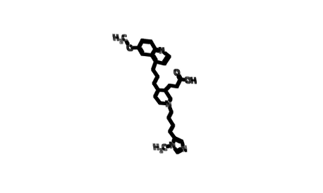 COc1ccc2nccc(CCCC3CCN(CCCCc4cncn4C)CC3CCC(=O)O)c2c1